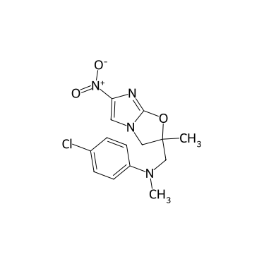 CN(CC1(C)Cn2cc([N+](=O)[O-])nc2O1)c1ccc(Cl)cc1